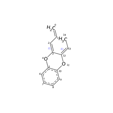 C=C/C=C1/Oc2ccccc2O/C1=C/C